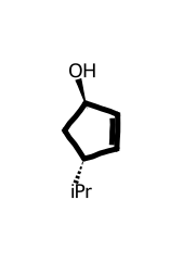 CC(C)[C@H]1C=C[C@H](O)C1